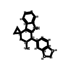 CC(=O)N1CC2(CC2)c2c([nH]c3ccccc23)C1c1ccc2c(c1)OCO2